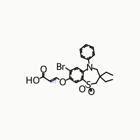 CCC1(CC)CN(c2ccccc2)c2cc(Br)c(O/C=C/C(=O)O)cc2S(=O)(=O)C1